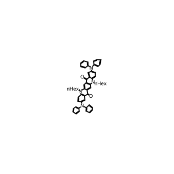 CCCCCCn1c2ccc(N(c3ccccc3)c3ccccc3)cc2c(=O)c2cc3c(cc21)c(=O)c1cc(N(c2ccccc2)c2ccccc2)ccc1n3CCCCCC